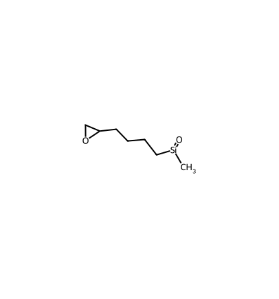 C[Si](=O)CCCCC1CO1